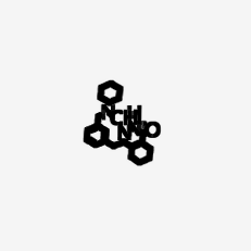 CN(Cc1cccc(Cc2n[nH]c(=O)c3c2CCCC3)c1)C1CCCCC1